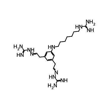 N=C(N)NCCCCCCCNc1cc(CC=NNC(=N)N)cc(CC=NNC(=N)N)c1